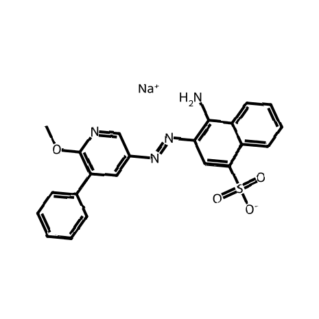 COc1ncc(N=Nc2cc(S(=O)(=O)[O-])c3ccccc3c2N)cc1-c1ccccc1.[Na+]